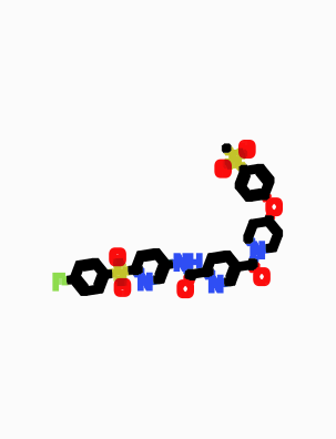 CS(=O)(=O)c1ccc(OC2CCN(C(=O)c3ccc(C(=O)Nc4ccc(S(=O)(=O)c5ccc(F)cc5)nc4)nc3)CC2)cc1